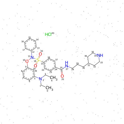 CCN(CC)c1cccc(ON(c2ccccc2)S(=O)(=O)c2ccc(C(=O)NCCCC3CCNCC3)cc2)c1.Cl